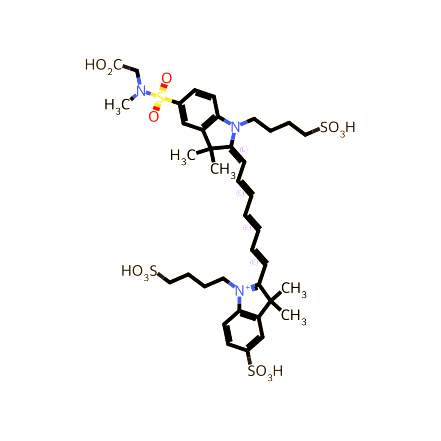 CN(CC(=O)O)S(=O)(=O)c1ccc2c(c1)C(C)(C)\C(=C/C=C/C=C/C=C/C1=[N+](CCCCS(=O)(=O)O)c3ccc(S(=O)(=O)O)cc3C1(C)C)N2CCCCS(=O)(=O)O